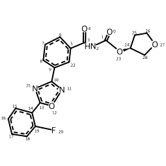 O=C(NC(=O)c1cccc(-c2noc(-c3ccccc3F)n2)c1)O[C@H]1CCOC1